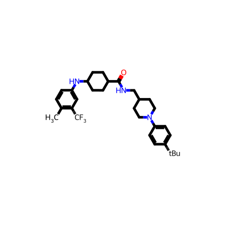 Cc1ccc(NC2CCC(C(=O)NCC3CCN(c4ccc(C(C)(C)C)cc4)CC3)CC2)cc1C(F)(F)F